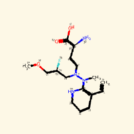 C=CC1=C(N(C)N(CC[C@H](N)C(=O)O)C[C@H](F)COC)NCCC1